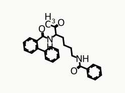 CC(=O)C(CCCCNC(=O)c1ccccc1)NC(=O)c1ccccc1-c1ccccc1